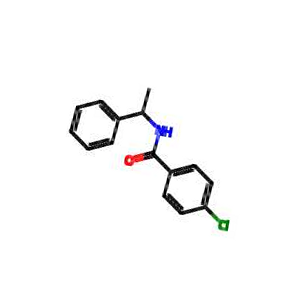 CC(NC(=O)c1ccc(Cl)cc1)c1ccccc1